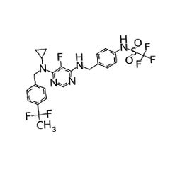 CC(F)(F)c1ccc(CN(c2ncnc(NCc3ccc(NS(=O)(=O)C(F)(F)F)cc3)c2F)C2CC2)cc1